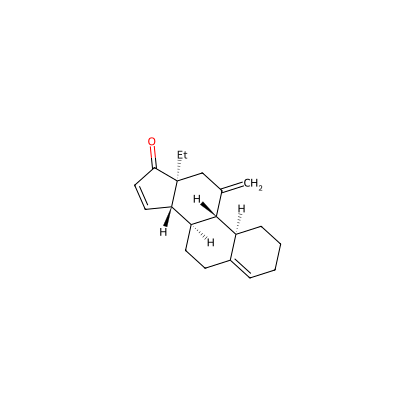 C=C1C[C@]2(CC)C(=O)C=C[C@H]2[C@@H]2CCC3=CCCC[C@@H]3[C@@H]12